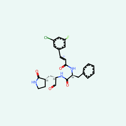 O=C[C@H](C[C@@H]1CCNC1=O)NC(=O)[C@H](Cc1ccccc1)NC(=O)/C=C/c1cc(F)cc(Cl)c1